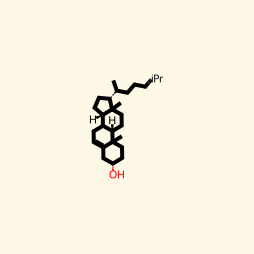 CC(C)CCCC(C)[C@H]1CC[C@H]2C3CC=C4C[C@@H](O)CCC4(C)[C@H]3CCC12C